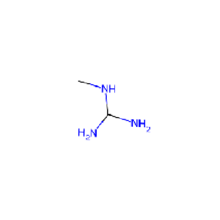 CNC(N)N